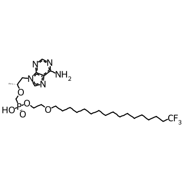 C[C@H](Cn1cnc2c(N)ncnc21)OCP(=O)(O)OCCOCCCCCCCCCCCCCCCCC(F)(F)F